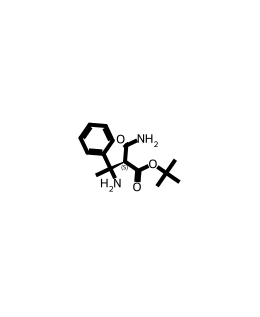 CC(C)(C)OC(=O)[C@H](C(N)=O)C(C)(N)c1ccccc1